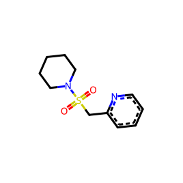 O=S(=O)(Cc1ccccn1)N1CCCCC1